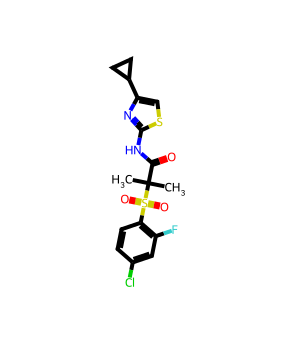 CC(C)(C(=O)Nc1nc(C2CC2)cs1)S(=O)(=O)c1ccc(Cl)cc1F